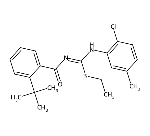 CCSC(=NC(=O)c1ccccc1C(C)(C)C)Nc1cc(C)ccc1Cl